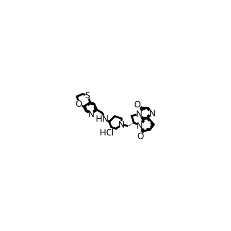 Cl.O=c1cnc2ccc(=O)n3c2n1C[C@H]3CN1CCC(NCc2cc3c(cn2)OCCS3)CC1